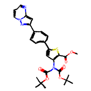 COC(=O)c1sc(-c2ccc(-c3cc4ncccn4n3)cc2)cc1N(C(=O)OC(C)(C)C)C(=O)OC(C)(C)C